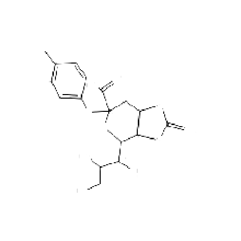 Cc1ccc(SC2(C(=O)O)CC3OC(=O)NC3C(C(O)C(O)CO)O2)cc1